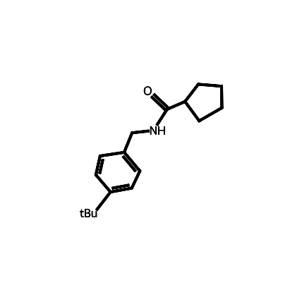 CC(C)(C)c1ccc(CNC(=O)C2CCCC2)cc1